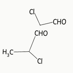 CC(Cl)C=O.O=CCCl